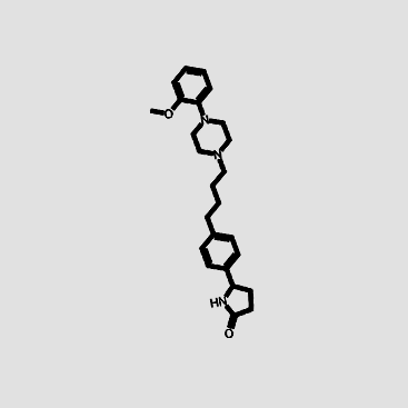 COc1ccccc1N1CCN(CCCCc2ccc(C3CCC(=O)N3)cc2)CC1